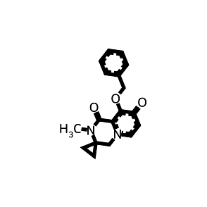 CN1C(=O)c2c(OCc3ccccc3)c(=O)ccn2CC12CC2